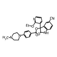 CCOc1ncccc1C1(OC(=O)c2ccc(N3CCN(C)CC3)cc2)C(=O)Nc2ccc(C#N)cc21